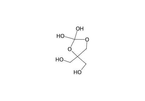 OCC1(CO)COC(O)(O)O1